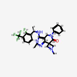 Cc1nc(N[C@H](C)c2cccc(C(F)(F)F)c2F)c2c(n1)C1(CN(C)C1)C(=O)N(c1ccccc1)C2